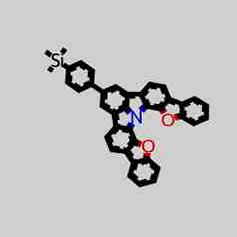 C[Si](C)(C)c1ccc(-c2cc3c4ccc5c6ccccc6oc5c4n4c3c(c2)c2ccc3c5ccccc5oc3c24)cc1